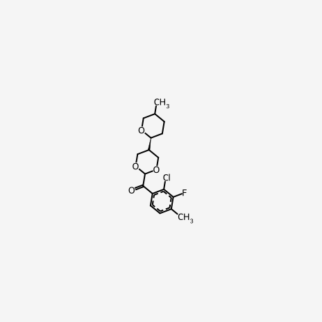 Cc1ccc(C(=O)C2OCC([C@@H]3CCC(C)CO3)CO2)c(Cl)c1F